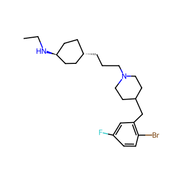 CCN[C@H]1CC[C@H](CCCN2CCC(Cc3cc(F)ccc3Br)CC2)CC1